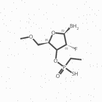 B[C@@H]1O[C@H](COC)C(OP(=O)(S)CC)[C@H]1F